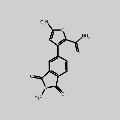 CN1C(=O)c2ccc(-c3cc([N+](=O)[O-])oc3C(N)=O)cc2C1=O